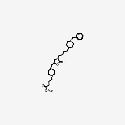 COC(=O)CCCN1CCN(CC2CN(CCCCC3CCN(Cc4ccccc4)CC3)C(=O)O2)CC1